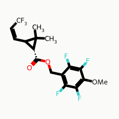 COc1c(F)c(F)c(COC(=O)[C@@H]2C(/C=C\C(F)(F)F)C2(C)C)c(F)c1F